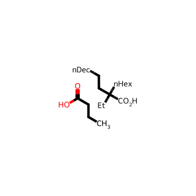 CCCC(=O)O.CCCCCCCCCCCCC(CC)(CCCCCC)C(=O)O